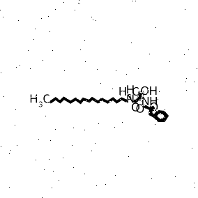 CCCCCCCCCCCCCCCCCCNC(=O)[C@@H](NC(=O)c1cc2ccccc2o1)[C@@H](C)O